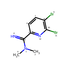 CN(C)C(=N)c1ccc(Br)c(Br)n1